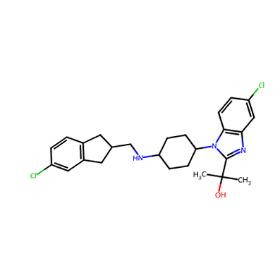 CC(C)(O)c1nc2cc(Cl)ccc2n1C1CCC(NCC2Cc3ccc(Cl)cc3C2)CC1